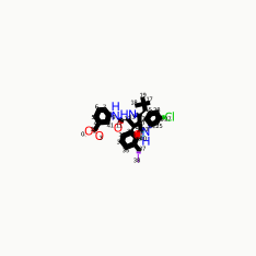 COC(=O)c1cccc(NC(=O)[C@@H]2N[C@@H](CC(C)(C)C)[C@@]3(C(=O)Nc4cc(Cl)ccc43)[C@H]2c2cccc(CI)c2F)c1